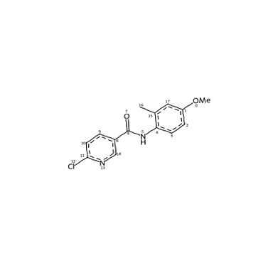 COc1ccc(NC(=O)c2ccc(Cl)nc2)c(C)c1